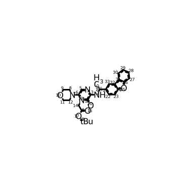 C[C@@H](Nc1ncc(N2CCOCC2)n(CC(=O)OC(C)(C)C)c1=O)c1ccc2oc3ccccc3c2c1